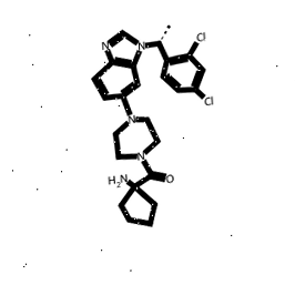 C[C@H](c1ccc(Cl)cc1Cl)n1cnc2ccc(N3CCN(C(=O)C4(N)CCCC4)CC3)cc21